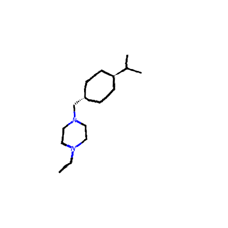 CCN1CCN(C[C@H]2CC[C@H](C(C)C)CC2)CC1